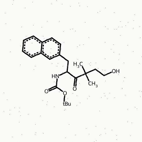 CC(C)(C)OC(=O)NC(Cc1ccc2ccccc2c1)C(=O)C(C)(C)CCO